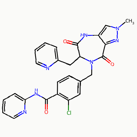 Cn1cc2c(n1)C(=O)N(Cc1ccc(C(=O)Nc3ccccn3)c(Cl)c1)C(Cc1ccccn1)C(=O)N2